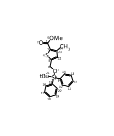 COC(=O)c1sc(CO[Si](c2ccccc2)(c2ccccc2)C(C)(C)C)cc1C